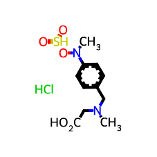 CN(CC(=O)O)Cc1ccc(N(C)O[SH](=O)=O)cc1.Cl